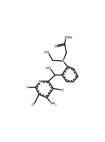 COC(=O)CN(CO)c1ccccc1C(O)c1nc(F)c(Cl)c(N)c1Cl